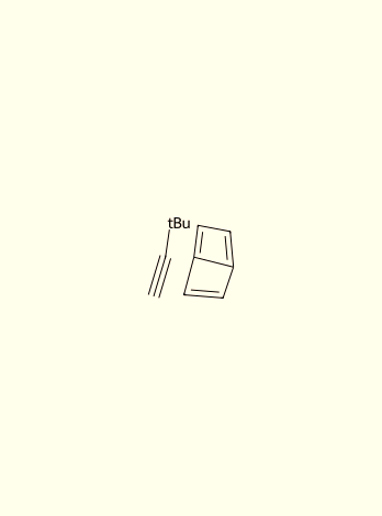 C#CC(C)(C)C.c1cc2ccc1-2